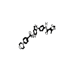 Cc1ncsc1C(=O)Nc1ccc(-n2ncc3cc(NC(=O)c4ccc(N5CCOCC5)cc4)ccc32)cc1